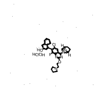 Cl.Cl.Oc1cc(-c2c(Cl)cc3c(N4C[C@H]5CC[C@@H](C4)N5)nc(OCCN4CCCC4)nc3c2F)c2ccccc2c1